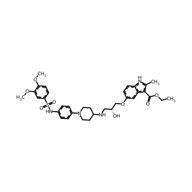 CCOC(=O)c1c(C)[nH]c2ccc(OC[C@H](O)CNC3CCN(c4ccc(NS(=O)(=O)c5ccc(OC)c(OC)c5)cc4)CC3)cc12